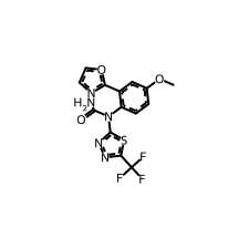 COc1ccc(N(C(N)=O)c2nnc(C(F)(F)F)s2)c(-c2ncco2)c1